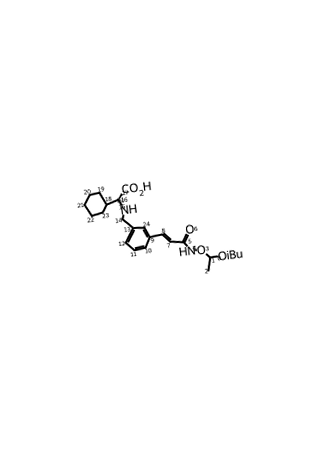 CC(C)COC(C)ONC(=O)C=Cc1cccc(CN[C@H](C(=O)O)C2CCCCC2)c1